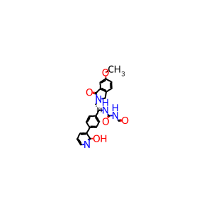 COc1ccc2c(c1)C(=O)N(C[C@H](NC(=O)NC=O)c1ccc(-c3cccnc3O)cc1)C2